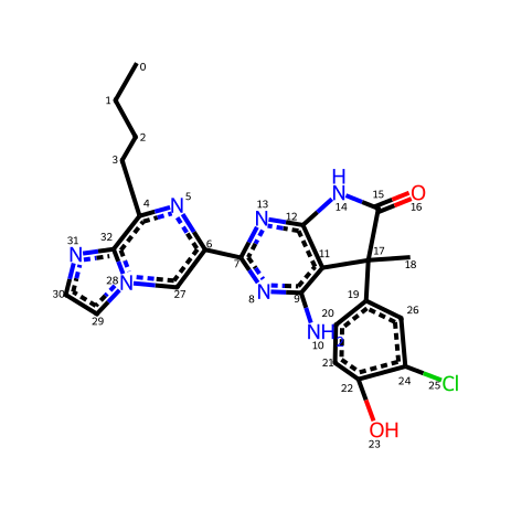 CCCCc1nc(-c2nc(N)c3c(n2)NC(=O)C3(C)c2ccc(O)c(Cl)c2)cn2ccnc12